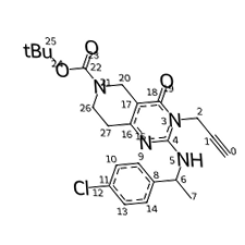 C#CCn1c(NC(C)c2ccc(Cl)cc2)nc2c(c1=O)CN(C(=O)OC(C)(C)C)CC2